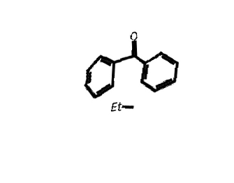 CCC.O=C(c1ccccc1)c1ccccc1